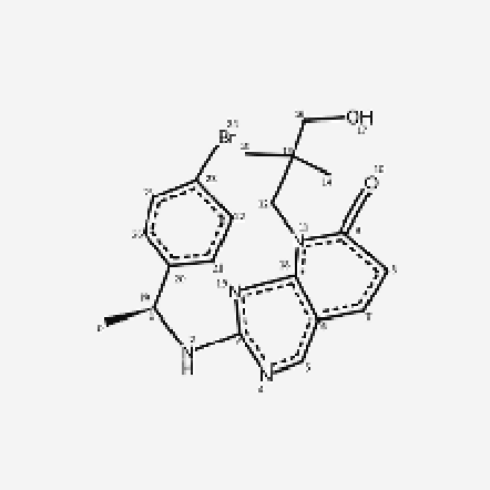 C[C@H](Nc1ncc2ccc(=O)n(CC(C)(C)CO)c2n1)c1ccc(Br)cc1